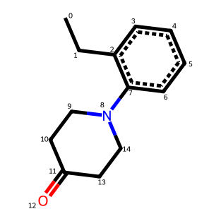 CCc1ccccc1N1CCC(=O)CC1